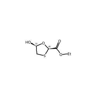 CCOC(=O)[C@@H]1O[C@H](O)CS1